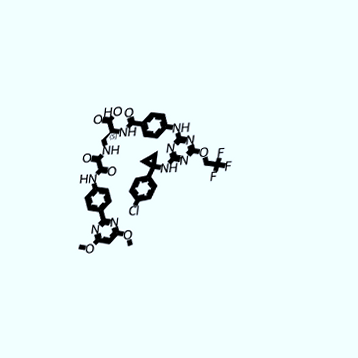 COc1cc(OC)nc(-c2ccc(NC(=O)C(=O)NC[C@H](NC(=O)c3ccc(Nc4nc(NC5(c6ccc(Cl)cc6)CC5)nc(OCC(F)(F)F)n4)cc3)C(=O)O)cc2)n1